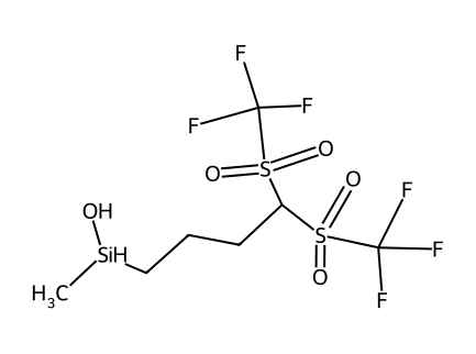 C[SiH](O)CCCC(S(=O)(=O)C(F)(F)F)S(=O)(=O)C(F)(F)F